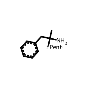 CCCC[CH]C(C)(N)Cc1ccccc1